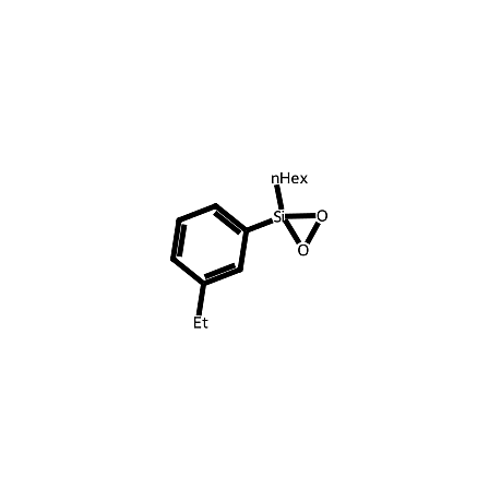 CCCCCC[Si]1(c2cccc(CC)c2)OO1